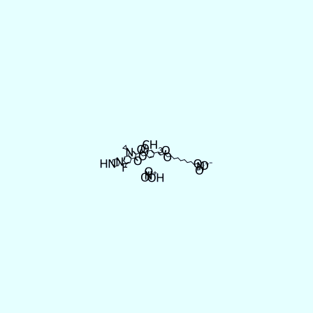 COc1cc(C=CC(=O)OCCCCCCCCO[N+](=O)[O-])ccc1OC(=O)c1cn(C2CC2)c2cc(N3CCNCC3)c(F)cc2c1=O.O=[N+]([O-])O